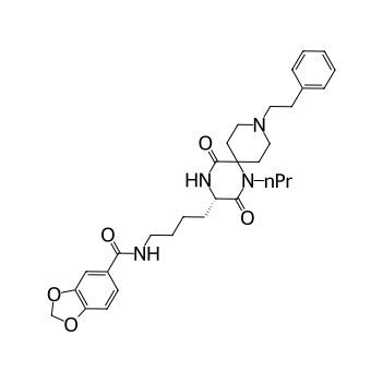 CCCN1C(=O)[C@H](CCCCNC(=O)c2ccc3c(c2)OCO3)NC(=O)C12CCN(CCc1ccccc1)CC2